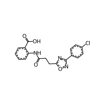 O=C(CCc1nc(-c2ccc(Cl)cc2)no1)Nc1ccccc1C(=O)O